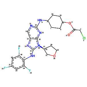 O=C(CCl)OC1CCC(Nc2ncc3nc(Nc4c(F)cc(F)cc4F)n([C@H]4CCOC4)c3n2)CC1